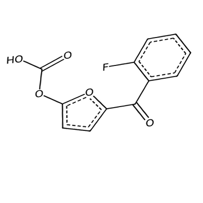 O=C(O)Oc1ccc(C(=O)c2ccccc2F)o1